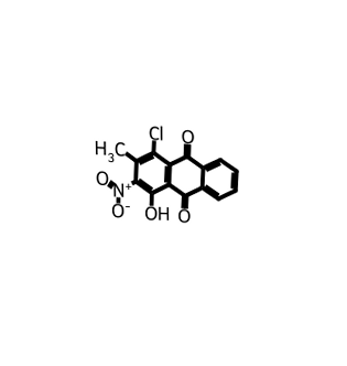 Cc1c(Cl)c2c(c(O)c1[N+](=O)[O-])C(=O)c1ccccc1C2=O